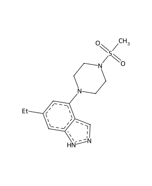 CCc1cc(N2CCN(S(C)(=O)=O)CC2)c2cn[nH]c2c1